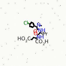 CC(C)[C@H](NC(=O)C(c1ccc(Cl)cc1)N(C)C)C(=O)N[C@H](CCC(=O)O)C(=O)O